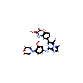 COc1cc(Nc2nc(-c3ccc4c(c3)NC(=O)CO4)c(C)n3ccnc23)ccc1N1CCOCC1